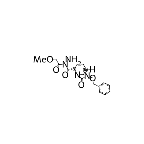 COCC(=O)N(N)C(=O)[C@@H]1CC[C@@H]2CN1C(=O)N2OCc1ccccc1